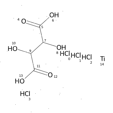 Cl.Cl.Cl.Cl.O=C(O)C(O)C(O)C(=O)O.[Ti]